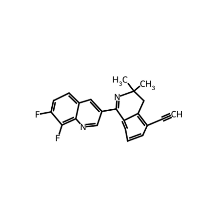 C#Cc1cccc2c1CC(C)(C)N=C2c1cnc2c(F)c(F)ccc2c1